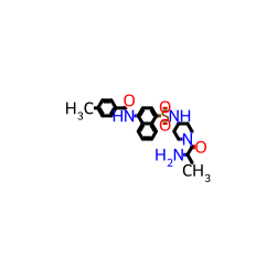 CCC(N)C(=O)N1CCC(NS(=O)(=O)c2ccc(NC(=O)c3ccc(C)cc3)c3ccccc23)CC1